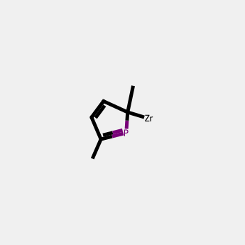 CC1=P[C](C)([Zr])C=C1